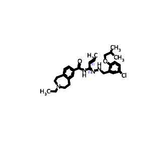 C/C=C/C(=N\NCc1cc(Cl)ccc1OCC(C)C)NC(=O)c1ccc2c(c1)CCN(CC)CC2